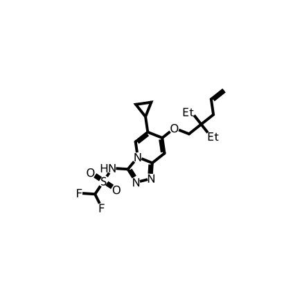 C=CCC(CC)(CC)COc1cc2nnc(NS(=O)(=O)C(F)F)n2cc1C1CC1